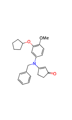 COc1ccc(N(Cc2ccccc2)C2=CC(=O)CC2)cc1OC1CCCC1